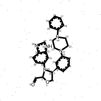 O=CC1OC[C@H](c2cccc(N3CCN(c4ccccc4)CC3)c2)N1c1ccc2nc[nH]c2c1